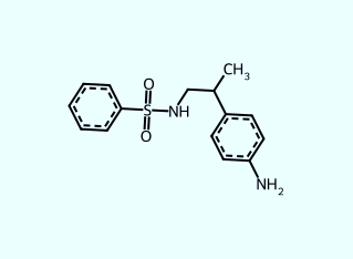 CC(CNS(=O)(=O)c1ccccc1)c1ccc(N)cc1